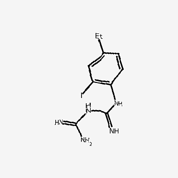 CCc1ccc(NC(=N)NC(=N)N)c(I)c1